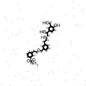 NS(=O)(=O)c1cccc(CCOCc2cccc(CCNC[C@@H](O)c3ccc(O)c(CO)c3)c2)c1